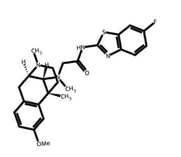 COc1ccc2c(c1)[C@@]1(C)CCN(C)[C@H](C2)[C@@H]1N(C)CC(=O)Nc1nc2ccc(F)cc2s1